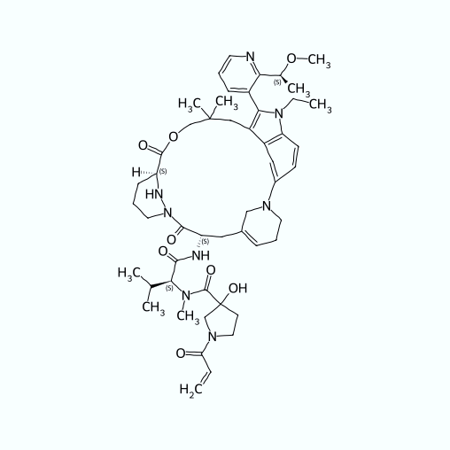 C=CC(=O)N1CCC(O)(C(=O)N(C)[C@H](C(=O)N[C@H]2CC3=CCCN(C3)c3ccc4c(c3)c(c(-c3cccnc3[C@H](C)OC)n4CC)CC(C)(C)COC(=O)[C@@H]3CCCN(N3)C2=O)C(C)C)C1